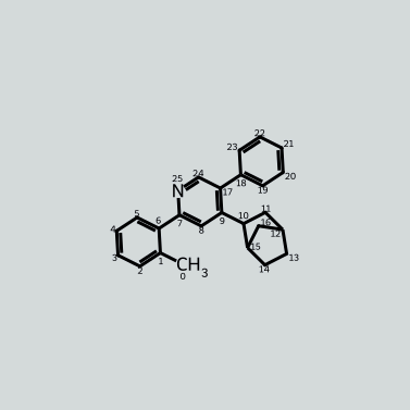 Cc1ccccc1-c1cc(C2CC3CCC2C3)c(-c2ccccc2)cn1